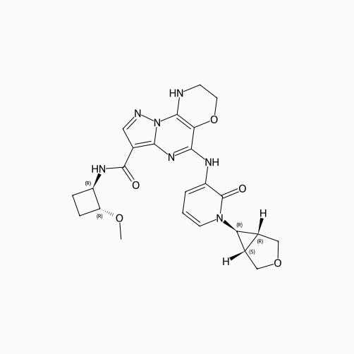 CO[C@@H]1CC[C@H]1NC(=O)c1cnn2c3c(c(Nc4cccn([C@H]5[C@@H]6COC[C@@H]65)c4=O)nc12)OCCN3